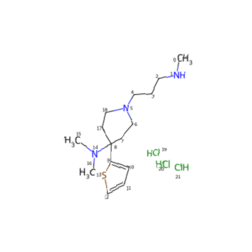 CNCCCN1CCC(c2cccs2)(N(C)C)CC1.Cl.Cl.Cl